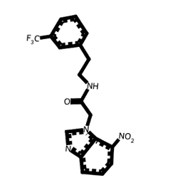 O=C(Cn1cnc2cccc([N+](=O)[O-])c21)NCCc1cccc(C(F)(F)F)c1